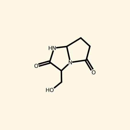 O=C1NC2CCC(=O)N2C1CO